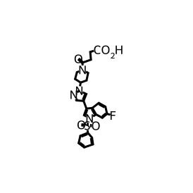 O=C(O)CCC(=O)N1CCC(n2cc(-c3cn(S(=O)(=O)c4ccccc4)c4cc(F)ccc34)cn2)CC1